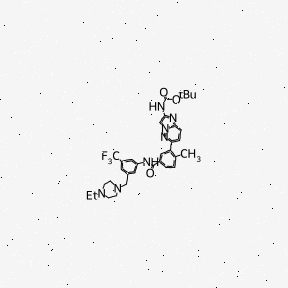 CCN1CCN(Cc2cc(NC(=O)c3ccc(C)c(-c4ccc5nc(NC(=O)OC(C)(C)C)cn5n4)c3)cc(C(F)(F)F)c2)CC1